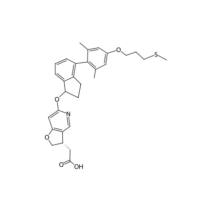 CSCCCOc1cc(C)c(-c2cccc3c2CCC3Oc2cc3c(cn2)[C@H](CC(=O)O)CO3)c(C)c1